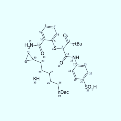 CC(C)(C)C(=O)C(Sc1ccccc1C(N)=O)C(=O)Nc1ccc(S(=O)(=O)O)cc1.CCCCCCCCCCCCCCCC1CC1.[KH]